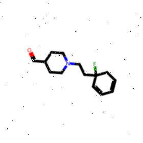 O=CC1CCN(CCC2(F)C=CC=CC2)CC1